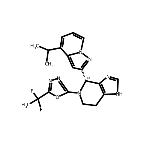 CC(C)c1cccn2nc([C@@H]3c4nc[nH]c4CCN3c3nnc(C(C)(F)F)o3)cc12